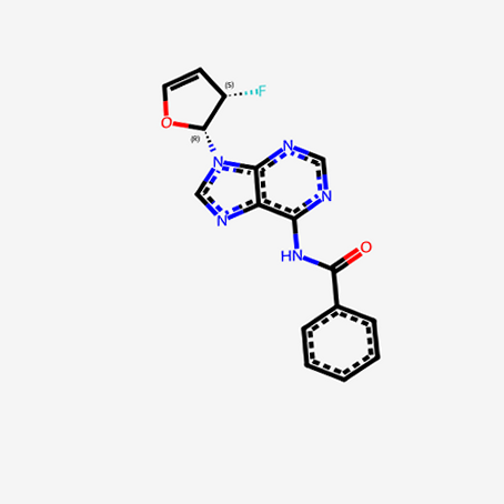 O=C(Nc1ncnc2c1ncn2[C@@H]1OC=C[C@@H]1F)c1ccccc1